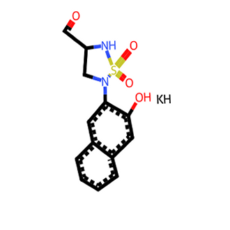 O=CC1CN(c2cc3ccccc3cc2O)S(=O)(=O)N1.[KH]